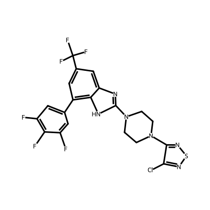 Fc1cc(-c2cc(C(F)(F)F)cc3nc(N4CCN(c5nsnc5Cl)CC4)[nH]c23)cc(F)c1F